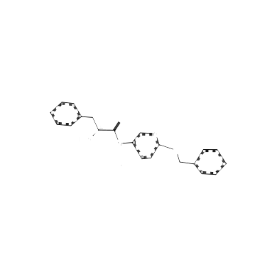 Cl.N[C@@H](Cc1ccccc1)C(=O)Nc1ccc(SCc2ccccc2)nc1